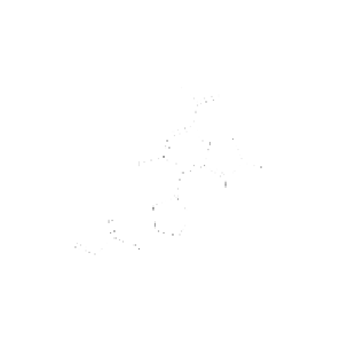 C=CC(=O)N[C@H]1CCN(c2c(F)cc(C(N)=O)c3[nH]c(C)c(C)c23)C1